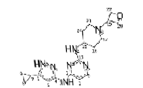 c1cc(Nc2cc(C3CC3)[nH]n2)nc(NC2CCN(C3COC3)CC2)n1